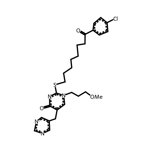 COCCCn1cc(Cc2cncnc2)c(=O)nc1SCCCCCCCC(=O)c1ccc(Cl)cc1